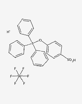 O=S(=O)(O)c1ccc(OS(c2ccccc2)(c2ccccc2)c2ccccc2)cc1.[F][Sb-]([F])([F])([F])([F])[F].[H+]